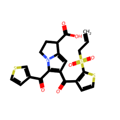 C=CCS(=O)(=O)c1sccc1C(=O)c1cc2n(c1C(=O)c1ccsc1)CCC2C(=O)O